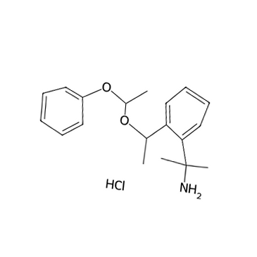 CC(Oc1ccccc1)OC(C)c1ccccc1C(C)(C)N.Cl